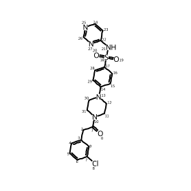 O=C(Cc1cccc(Cl)c1)N1CCN(c2ccc(S(=O)(=O)Nc3ccncn3)cc2)CC1